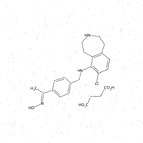 C/C(=N\O)c1ccc(CNc2c(Cl)ccc3c2CCNCC3)cc1.O=C(O)CCC(=O)O